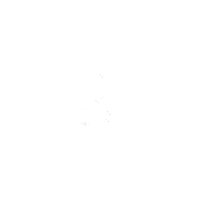 Cc1nn2c(-c3ccc(C(F)(F)F)cc3)c(-c3ccccc3C#N)cnc2c1C(=O)NC1CCS(=O)(=O)C1